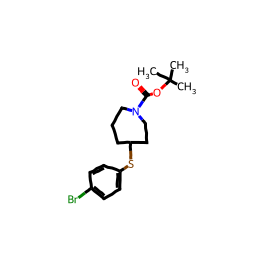 CC(C)(C)OC(=O)N1CCCC(Sc2ccc(Br)cc2)CC1